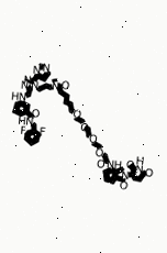 CN(CCCn1c(CNc2cccc(C(=O)NCc3c(F)cccc3F)c2)nnc1-c1ccncn1)C(=O)CCCCCOCCOCCOCCOCC(=O)Nc1cccc2c1CN(C1CCC(=O)NC1=O)C2=O